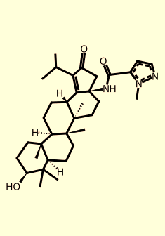 CC(C)C1=C2[C@H]3CC[C@@H]4[C@@]5(C)CC[C@H](O)C(C)(C)[C@@H]5CC[C@@]4(C)[C@]3(C)CC[C@@]2(NC(=O)c2ccnn2C)CC1=O